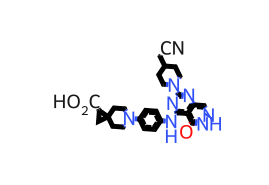 N#CCC1CCN(c2nc(Nc3ccc(N4CCC5(CC4)CC5C(=O)O)cc3)c3c(=O)[nH]ncc3n2)CC1